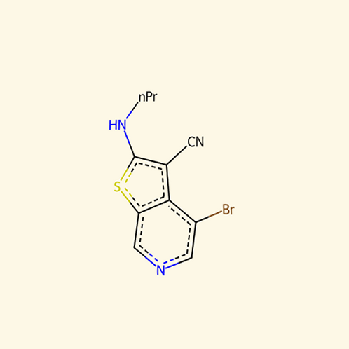 CCCNc1sc2cncc(Br)c2c1C#N